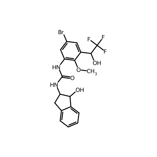 COc1c(NC(=O)NC2Cc3ccccc3C2O)cc(Br)cc1C(O)C(F)(F)F